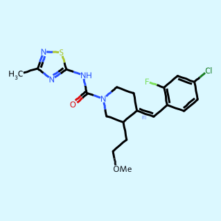 COCCC1CN(C(=O)Nc2nc(C)ns2)CC/C1=C\c1ccc(Cl)cc1F